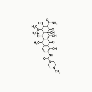 CC1c2ccc(NC(=O)N3CCN(C)CC3)c(O)c2C(=O)C2=C(O)C3(O)C(=O)C(C(N)=O)=C(O)C(N(C)C)C3C(O)C21